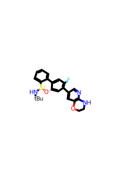 CC(C)(C)N[S+]([O-])c1ccccc1-c1ccc(-c2cnc3c(c2)OCCN3)c(F)c1